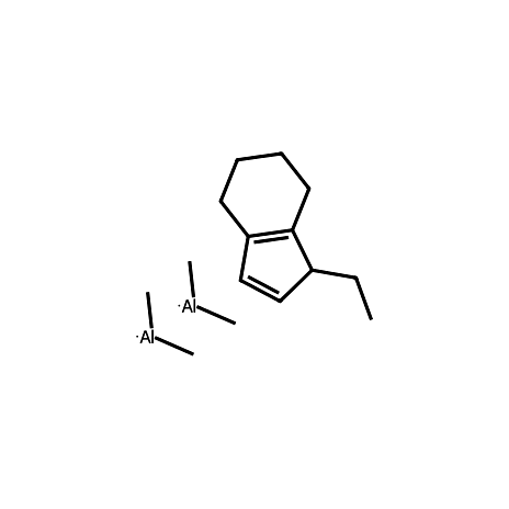 CCC1C=CC2=C1CCCC2.[CH3][Al][CH3].[CH3][Al][CH3]